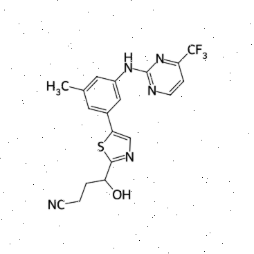 Cc1cc(Nc2nccc(C(F)(F)F)n2)cc(-c2cnc(C(O)CCC#N)s2)c1